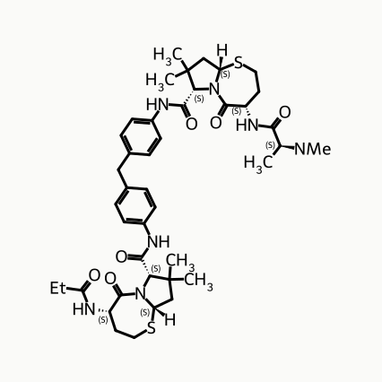 CCC(=O)N[C@H]1CCS[C@H]2CC(C)(C)[C@@H](C(=O)Nc3ccc(Cc4ccc(NC(=O)[C@H]5N6C(=O)[C@@H](NC(=O)[C@H](C)NC)CCS[C@H]6CC5(C)C)cc4)cc3)N2C1=O